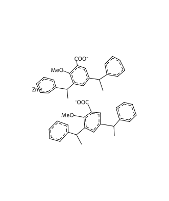 COc1c(C(=O)[O-])cc(C(C)c2ccccc2)cc1C(C)c1ccccc1.COc1c(C(=O)[O-])cc(C(C)c2ccccc2)cc1C(C)c1ccccc1.[Zn+2]